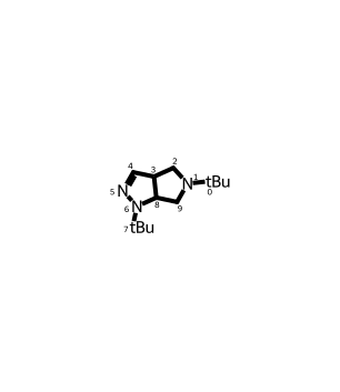 CC(C)(C)N1CC2C=NN(C(C)(C)C)C2C1